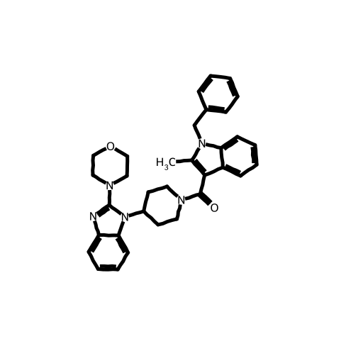 Cc1c(C(=O)N2CCC(n3c(N4CCOCC4)nc4ccccc43)CC2)c2ccccc2n1Cc1ccccc1